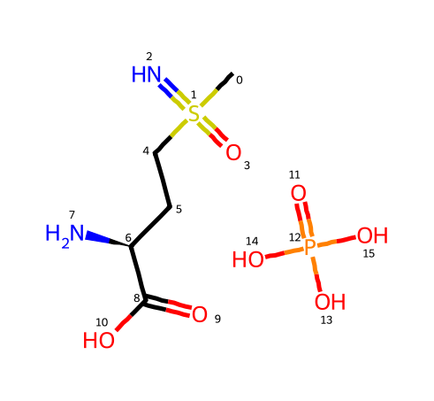 CS(=N)(=O)CC[C@H](N)C(=O)O.O=P(O)(O)O